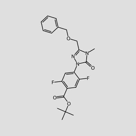 Cn1c(COCc2ccccc2)nn(-c2cc(F)c(C(=O)OC(C)(C)C)cc2F)c1=O